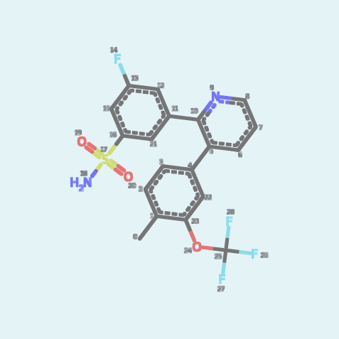 Cc1ccc(-c2cccnc2-c2cc(F)cc(S(N)(=O)=O)c2)cc1OC(F)(F)F